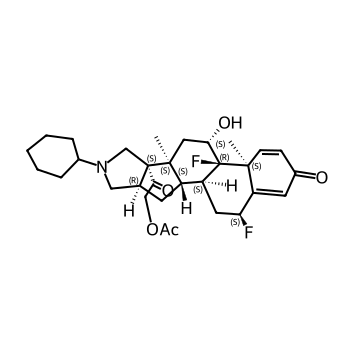 CC(=O)OCC(=O)[C@@]12CN(C3CCCCC3)C[C@@H]1C[C@H]1[C@@H]3C[C@H](F)C4=CC(=O)C=C[C@]4(C)[C@@]3(F)[C@@H](O)C[C@@]12C